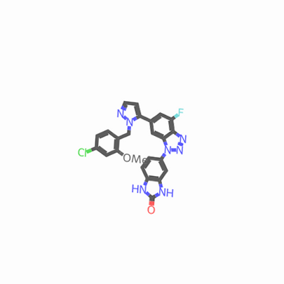 COc1cc(Cl)ccc1Cn1nccc1-c1cc(F)c2nnn(-c3ccc4[nH]c(=O)[nH]c4c3)c2c1